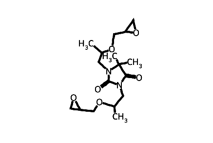 CC(CN1C(=O)N(CC(C)OCC2CO2)C(C)(C)C1=O)OCC1CO1